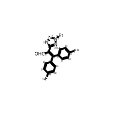 CCn1nnc(C(C=O)=C(c2ccc(F)cc2)c2ccc(F)cc2)n1